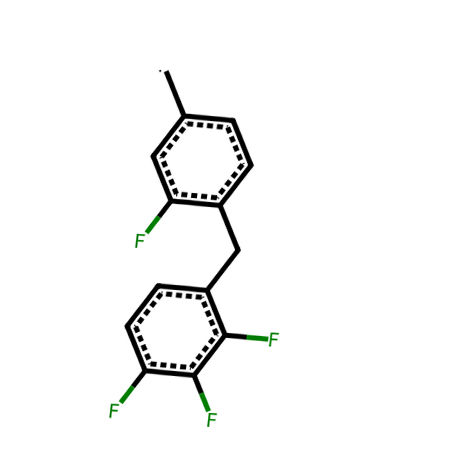 [CH2]c1ccc(Cc2ccc(F)c(F)c2F)c(F)c1